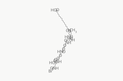 CN(C(=O)CCCCCCCCCCCCCCCCCCC(=O)O)C1CCC(C(=O)N[C@@H](CCC(=O)NCCOCCOCC(=O)NCCOCCOCC(=O)N[C@@H](CCCCNC(=O)CBr)C(=O)O)C(=O)O)CC1